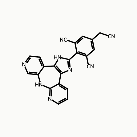 N#CCc1cc(C#N)c(-c2nc3c([nH]2)-c2ccncc2Nc2ncccc2-3)c(C#N)c1